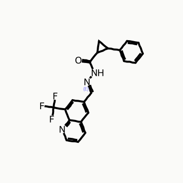 O=C(N/N=C/c1cc(C(F)(F)F)c2ncccc2c1)C1CC1c1ccccc1